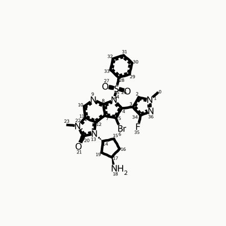 Cn1cc(-c2c(Br)c3c(ncc4c3n([C@@H]3CC[C@@H](N)C3)c(=O)n4C)n2S(=O)(=O)c2ccccc2)c(F)n1